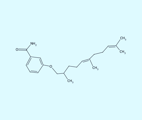 CC(C)=CCC/C(C)=C/CCC(C)COc1cccc(C(N)=O)c1